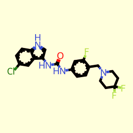 O=C(Nc1ccc(CN2CCC(F)(F)CC2)c(F)c1)Nc1c[nH]c2ccc(Cl)cc12